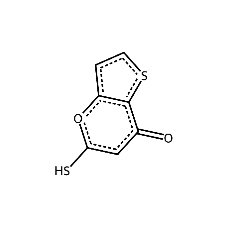 O=c1cc(S)oc2ccsc12